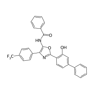 O=C(Nc1oc(-c2ccc(-c3ccccc3)cc2O)nc1-c1ccc(C(F)(F)F)cc1)c1ccccc1